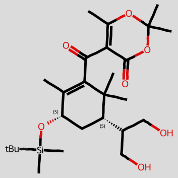 CC1=C(C(=O)C2=C(C)[C@@H](O[Si](C)(C)C(C)(C)C)C[C@@H](C(CO)CO)C2(C)C)C(=O)OC(C)(C)O1